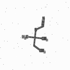 CCC(C)(C)SC=S